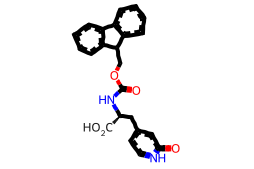 O=C(N[C@@H](Cc1cc[nH]c(=O)c1)C(=O)O)OCC1c2ccccc2-c2ccccc21